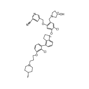 N#Cc1cncc(COc2cc(O[C@H]3CCc4c(-c5cccc(OCCCN6CCC(F)CC6)c5Cl)cccc43)c(Cl)cc2CN2CC[C@@H](O)C2)c1